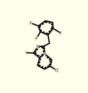 Fc1ccc(F)c(Cc2nc(I)c3ccc(Cl)cn23)c1F